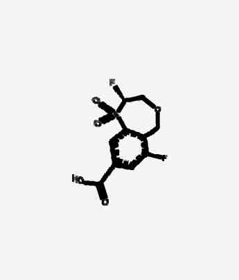 O=C(O)c1cc(F)c2c(c1)S(=O)(=O)[C@@H](F)COC2